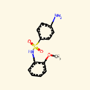 Nc1ccc(S(=O)(=O)Nc2ccccc2OC(F)(F)F)cc1